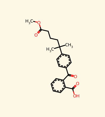 COC(=O)CCCC(C)(C)c1ccc(C(=O)c2ccccc2C(=O)O)cc1